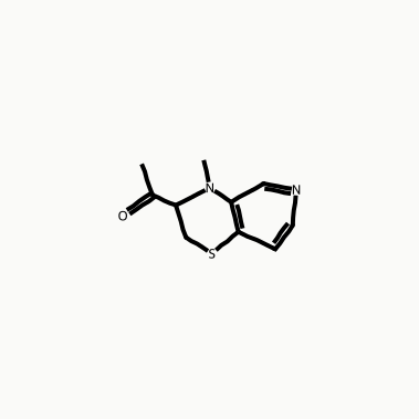 CC(=O)C1CSc2ccncc2N1C